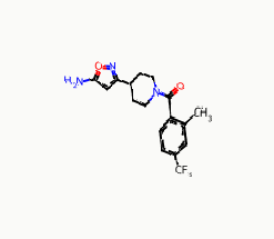 Cc1cc(C(F)(F)F)ccc1C(=O)N1CCC(c2cc(N)on2)CC1